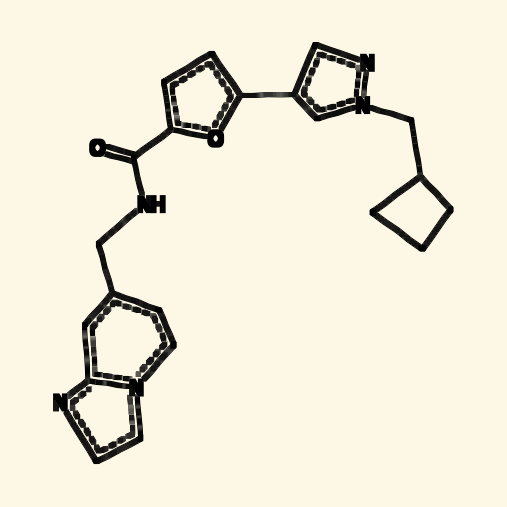 O=C(NCc1ccn2ccnc2c1)c1ccc(-c2cnn(CC3CCC3)c2)o1